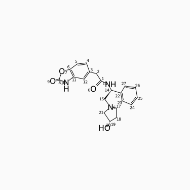 O=C(Cc1ccc2oc(=O)[nH]c2c1)N[C@H](CN1CC[C@H](O)C1)c1ccccc1